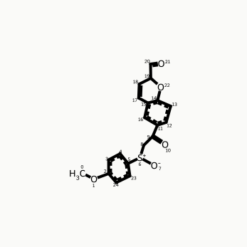 COc1ccc([S+]([O-])CC(=O)c2ccc3c(c2)C=CC(C=O)O3)cc1